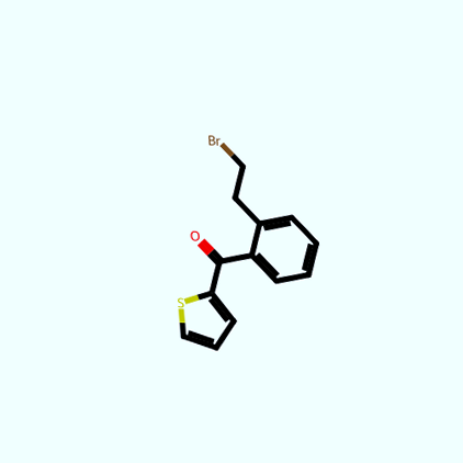 O=C(c1cccs1)c1ccccc1CCBr